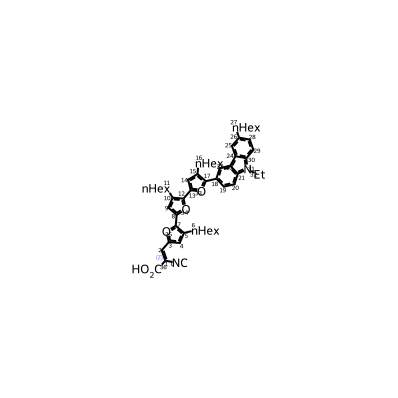 [C-]#[N+]/C(=C\c1cc(CCCCCC)c(-c2cc(CCCCCC)c(-c3cc(CCCCCC)c(-c4ccc5c(c4)c4cc(CCCCCC)ccc4n5CC)o3)o2)o1)C(=O)O